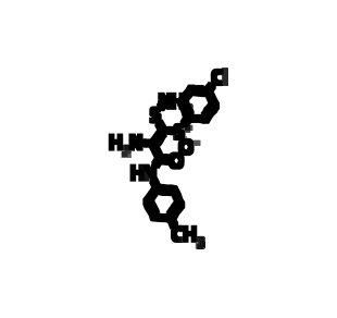 Cc1ccc(NC(=O)/C(N)=C(/SN)[S+]([O-])c2ccc(Cl)cc2)cc1